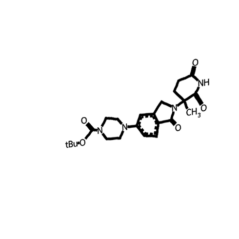 CC(C)(C)OC(=O)N1CCN(c2ccc3c(c2)CN(C2(C)CCC(=O)NC2=O)C3=O)CC1